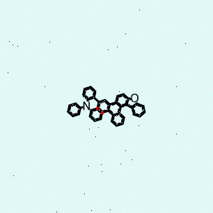 c1ccc(N(c2ccccc2)c2ccccc2-c2ccc3c4ccccc4c4c(ccc5oc6ccccc6c54)c3c2)cc1